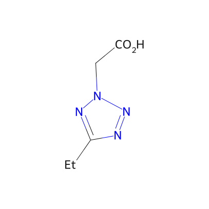 [CH2]Cc1nnn(CC(=O)O)n1